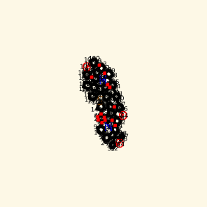 c1ccc(-c2ccc(-c3ccccc3N(c3cccc4c3-c3ccccc3C43c4ccccc4Oc4ccccc43)c3cc4c(c5ccccc35)-c3ccccc3C43c4ccccc4Oc4ccc(-c5ccc(-c6ccc(-c7ccccc7N(c7cccc8c7-c7ccccc7C87c8ccccc8Oc8ccccc87)c7cccc8c7-c7cc9ccccc9cc7C87c8ccccc8Sc8ccccc87)cc6)cc5)cc43)cc2)cc1